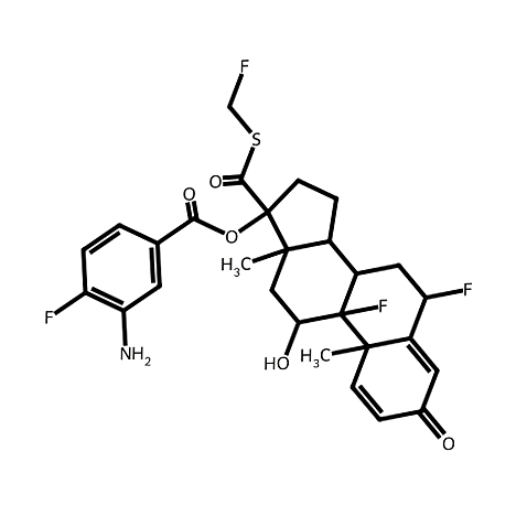 CC12C=CC(=O)C=C1C(F)CC1C3CCC(OC(=O)c4ccc(F)c(N)c4)(C(=O)SCF)C3(C)CC(O)C12F